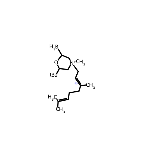 BC1C[N+](C)(C/C=C(\C)CCC=C(C)C)CC(C(C)(C)C)O1